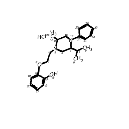 CC(C)C1CN(CCOc2ccccc2O)C(C)CN1c1ccccc1.Cl